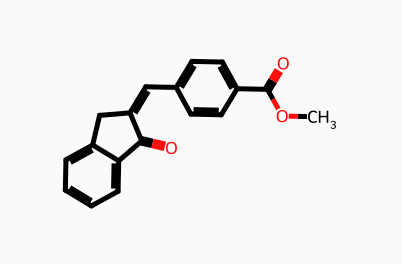 COC(=O)c1ccc(C=C2Cc3ccccc3C2=O)cc1